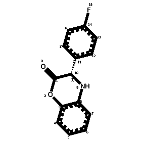 O=C1Oc2ccccc2N[C@H]1c1ccc(F)cc1